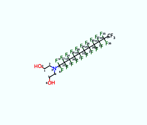 OCCN(CCO)C(F)(F)C(F)(F)C(F)(F)C(F)(F)C(F)(F)C(F)(F)C(F)(F)C(F)(F)C(F)(F)C(F)(F)C(F)(F)F